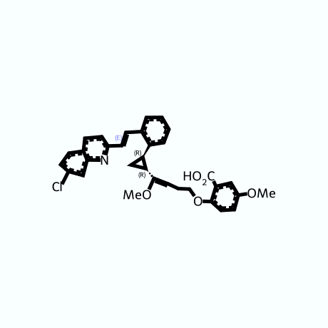 COC(=CCCOc1ccc(OC)cc1C(=O)O)[C@@H]1C[C@H]1c1ccccc1/C=C/c1ccc2ccc(Cl)cc2n1